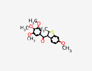 COc1ccc2c(c1)SC(C)C2C(=O)c1cc(OC)c(OC)c(OC)c1